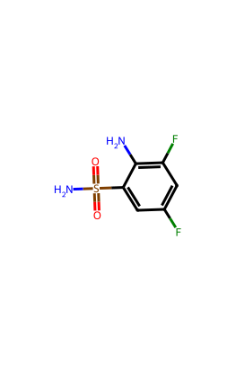 Nc1c(F)cc(F)cc1S(N)(=O)=O